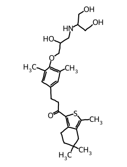 Cc1cc(CCC(=O)c2sc(C)c3c2CCC(C)(C)C3)cc(C)c1OCC(O)CNC(CO)CO